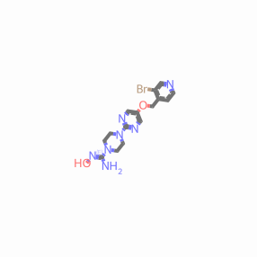 N/C(=N\O)N1CCN(c2ncc(OCc3ccncc3Br)cn2)CC1